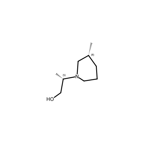 C[C@@H]1CCCN([C@@H](C)CO)C1